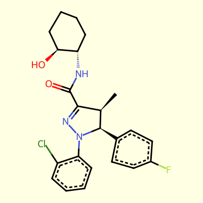 C[C@@H]1C(C(=O)N[C@H]2CCCC[C@@H]2O)=NN(c2ccccc2Cl)[C@@H]1c1ccc(F)cc1